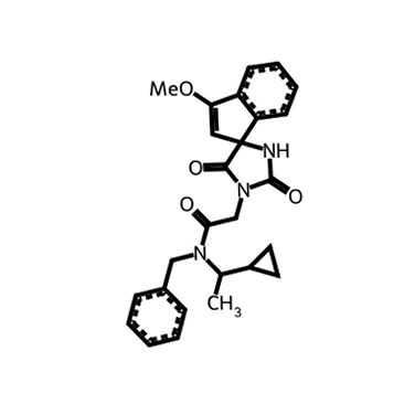 COC1=CC2(NC(=O)N(CC(=O)N(Cc3ccccc3)C(C)C3CC3)C2=O)c2ccccc21